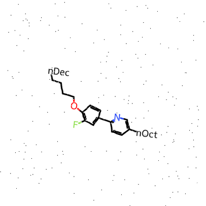 CCCCCCCCCCCCCCOc1ccc(-c2ccc(CCCCCCCC)cn2)cc1F